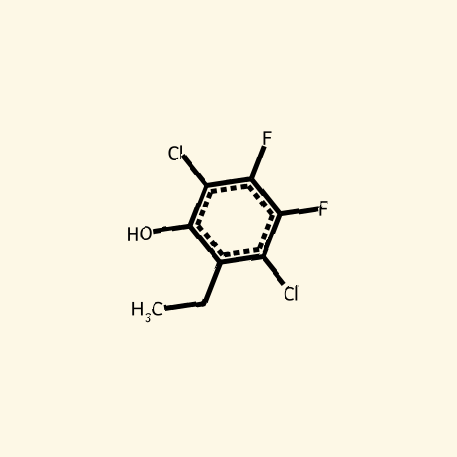 CCc1c(O)c(Cl)c(F)c(F)c1Cl